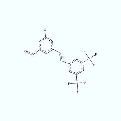 O=Cc1cc(Cl)cc(/C=C/c2cc(C(F)(F)F)cc(C(F)(F)F)c2)c1